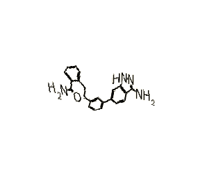 NC(=O)c1ccccc1C[CH]c1cccc(-c2ccc3c(N)n[nH]c3c2)c1